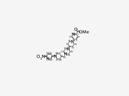 COC(=O)c1ccc(N2CCC(N3CCN(CC4CCN(c5ccc([N+](=O)[O-])nc5)CC4)CC3)CC2)cn1